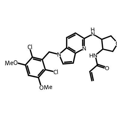 C=CC(=O)NC1COCC1Nc1ccc2c(ccn2Cc2c(Cl)c(OC)cc(OC)c2Cl)n1